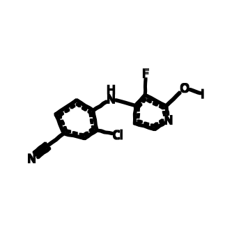 N#Cc1ccc(Nc2ccnc(OI)c2F)c(Cl)c1